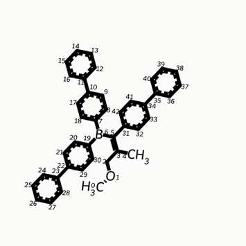 COC/C(C)=C(\B(c1ccc(-c2ccccc2)cc1)c1ccc(-c2ccccc2)cc1)c1ccc(-c2ccccc2)cc1